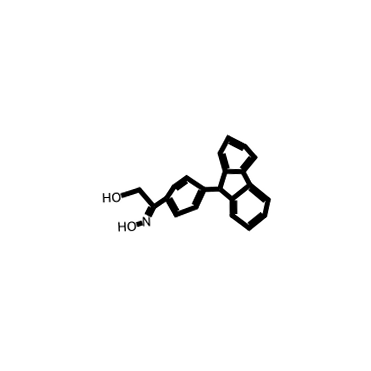 OCC(=NO)c1ccc(C2c3ccccc3-c3ccccc32)cc1